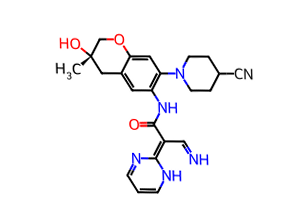 C[C@@]1(O)COc2cc(N3CCC(C#N)CC3)c(NC(=O)/C(C=N)=C3\N=CC=CN3)cc2C1